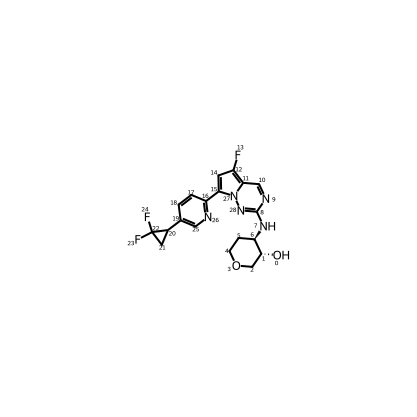 O[C@@H]1COCC[C@H]1Nc1ncc2c(F)cc(-c3ccc(C4CC4(F)F)cn3)n2n1